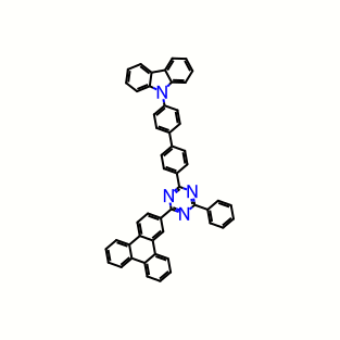 c1ccc(-c2nc(-c3ccc(-c4ccc(-n5c6ccccc6c6ccccc65)cc4)cc3)nc(-c3ccc4c5ccccc5c5ccccc5c4c3)n2)cc1